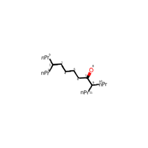 CCCC(CCC)CCCCC(=O)C(CCC)CCC